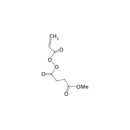 C=CC(=O)OOC(=O)CCC(=O)OC